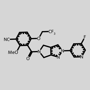 COc1c(C#N)ccc(OCC(F)(F)F)c1C(=O)N1Cc2cn(-c3cncc(F)c3)nc2C1